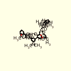 COc1c(CN(CC(=O)N[C@H]2C[C@H]3C[C@@H]([C@@H]2C)C3(C)C)O[C@@H](CN)C[C@H](C)O)cccc1-c1cc(C(=O)N[C@H](CN(C)C)[C@H](O)c2ccccc2)cc(N(C)C)c1